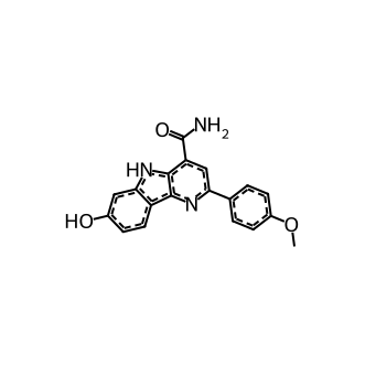 COc1ccc(-c2cc(C(N)=O)c3[nH]c4cc(O)ccc4c3n2)cc1